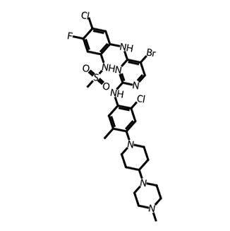 Cc1cc(Nc2ncc(Br)c(Nc3cc(Cl)c(F)cc3NS(C)(=O)=O)n2)c(Cl)cc1N1CCC(N2CCN(C)CC2)CC1